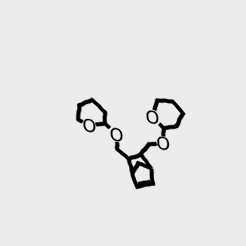 C1=CC2CC1C(COC1CCCCO1)C2COC1CCCCO1